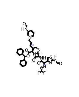 O=CNc1ccc[n+](C/C=C/C2=C(C(=O)OC(c3ccccc3)c3ccccc3)N3C(=O)[C@@H](NC(=O)/C(=N\OC(F)F)c4csc(NC=O)n4)[C@@H]3SC2)c1